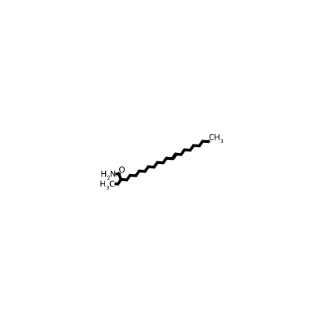 CCCCCCCCC=CCCCCCCCCCCC(CC)C(N)=O